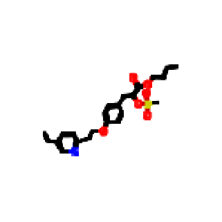 CCCCOC(=O)C(Cc1ccc(OCCc2ccc(CC)cn2)cc1)OS(C)(=O)=O